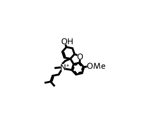 COc1ccc2c3c1OC1CC(O)C=CC31CC[N+](C)(CC=C(C)C)C2